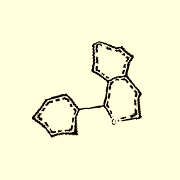 c1ccc(-c2[o+]ccc3ccccc23)cc1